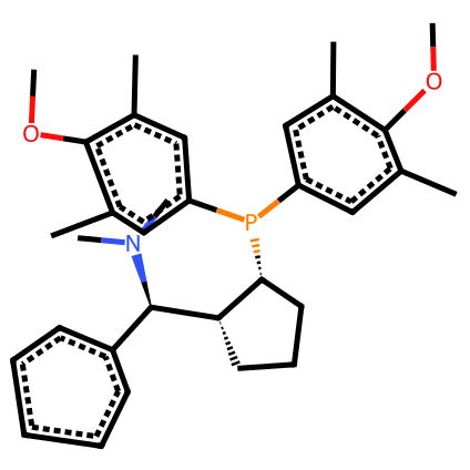 COc1c(C)cc(P(c2cc(C)c(OC)c(C)c2)[C@@H]2CCC[C@@H]2[C@@H](c2ccccc2)N(C)C)cc1C